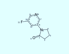 O=C1CCCN1c1cncc(F)c1